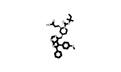 CCC(C)(C)OC(=O)N1CC[C@@H](Cc2ncnc3oc(-c4ccccc4)c(-c4ccc(OC)cc4)c23)C[C@H]1CCC(=O)O